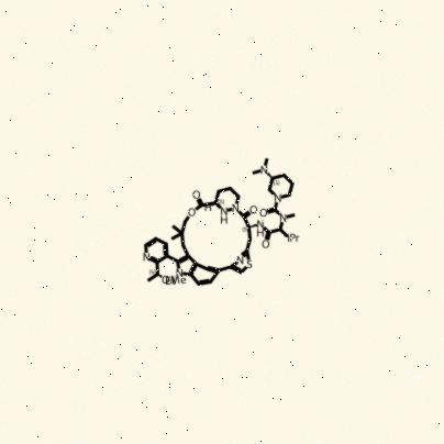 CCn1c(-c2cccnc2[C@H](C)OC)c2c3cc(ccc31)-c1csc(n1)C[C@H](NC(=O)C(C(C)C)N(C)C(=O)N1CCC[C@H](N(C)C)C1)C(=O)N1CCC[C@H](N1)C(=O)OCC(C)(C)C2